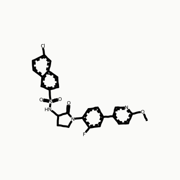 COc1ccc(-c2ccc(N3CCC(NS(=O)(=O)c4ccc5cc(Cl)ccc5c4)C3=O)c(F)c2)cn1